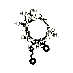 CC[C@H](C)[C@H](N)C(=O)N[C@H]1CCC(=O)NCCCC[C@@H](C(N)=O)NC(=O)[C@H](Cc2c[nH]c3ccccc23)NC(=O)[C@@H]2C[C@H](n3cc(CCc4ccccc4)nn3)CN2C(=O)[C@H]([C@@H](C)CC)NC(=O)[C@H](CC(N)=O)NC1=O